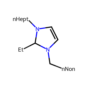 CCCCCCCCCCN1C=CN(CCCCCCC)C1CC